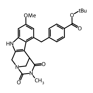 COc1cc(Cc2ccc(C(=O)OC(C)(C)C)cc2)c2c3c([nH]c2c1)CN1CC3C(=O)N(C)C1=O